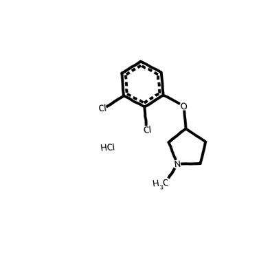 CN1CCC(Oc2cccc(Cl)c2Cl)C1.Cl